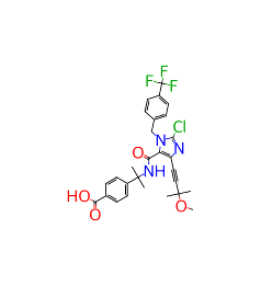 COC(C)(C)C#Cc1nc(Cl)n(Cc2ccc(C(F)(F)F)cc2)c1C(=O)NC(C)(C)c1ccc(C(=O)O)cc1